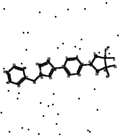 CC1(C)OB(c2ccc(-c3cn(Cc4ccncc4)nn3)cc2)OC1(C)C